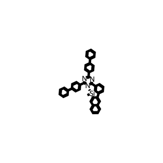 C[Si]1(C)c2cc3ccccc3cc2-c2cccc(-c3nc(-c4ccc(-c5ccccc5)cc4)nc(-c4ccc(-c5ccccc5)cc4)n3)c21